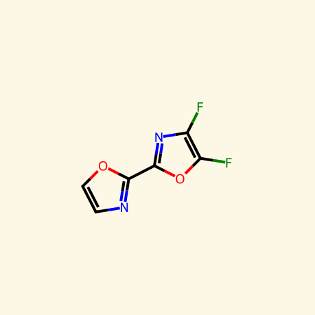 Fc1nc(-c2ncco2)oc1F